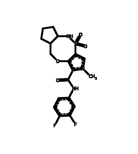 Cn1cc2c(c1C(=O)Nc1ccc(F)c(F)c1)OCC1CCCC1NS2(=O)=O